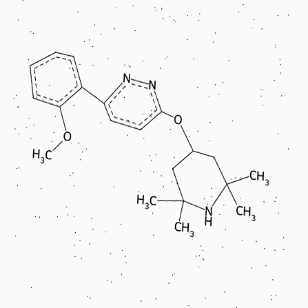 COc1ccccc1-c1ccc(OC2CC(C)(C)NC(C)(C)C2)nn1